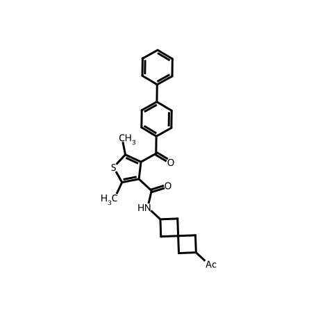 CC(=O)C1CC2(CC(NC(=O)c3c(C)sc(C)c3C(=O)c3ccc(-c4ccccc4)cc3)C2)C1